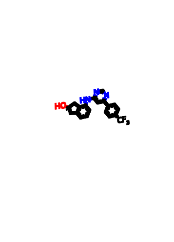 O[C@@H]1Cc2cccc(Nc3cc(-c4ccc(C(F)(F)F)cc4)ncn3)c2C1